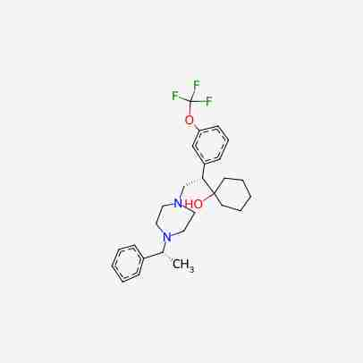 C[C@H](c1ccccc1)N1CCN(C[C@H](c2cccc(OC(F)(F)F)c2)C2(O)CCCCC2)CC1